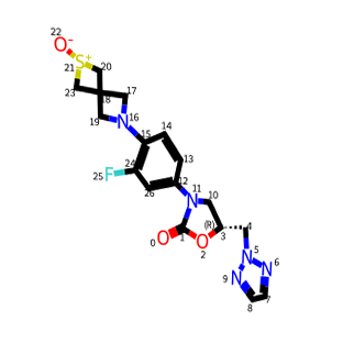 O=C1O[C@@H](Cn2nccn2)CN1c1ccc(N2CC3(C2)C[S+]([O-])C3)c(F)c1